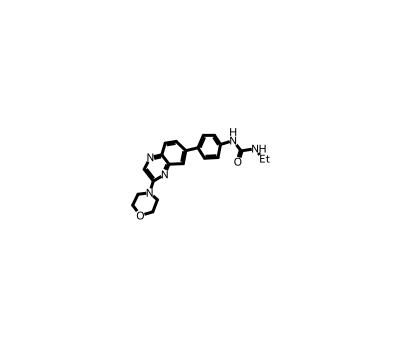 CCNC(=O)Nc1ccc(-c2ccc3ncc(N4CCOCC4)nc3c2)cc1